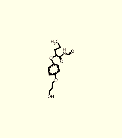 CCCC(Oc1ccc(OCCCO)cc1)C(=O)NC=O